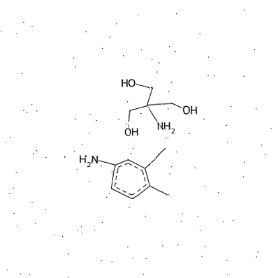 Cc1ccc(N)cc1C.NC(CO)(CO)CO